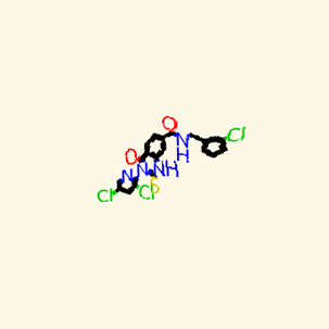 O=C(NCc1cccc(Cl)c1)c1ccc2c(=O)n(-c3ncc(Cl)cc3Cl)c(=S)[nH]c2c1